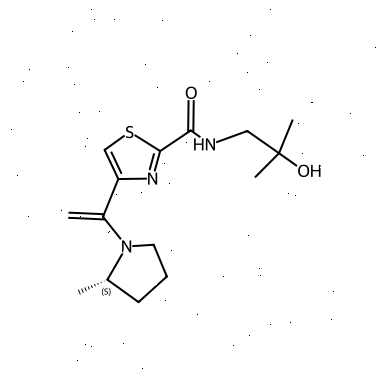 C=C(c1csc(C(=O)NCC(C)(C)O)n1)N1CCC[C@@H]1C